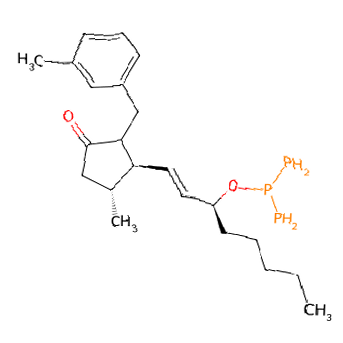 CCCCC[C@@H](/C=C/[C@@H]1C(Cc2cccc(C)c2)C(=O)C[C@H]1C)OP(P)P